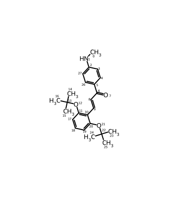 CNc1ccc(C(=O)C=Cc2c(OC(C)(C)C)cccc2OC(C)(C)C)cc1